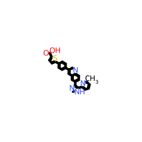 Cc1cccc(-c2[nH]cnc2-c2ccc3ncc(-c4ccc(-c5ccc(C(=O)O)s5)cc4)cc3c2)n1